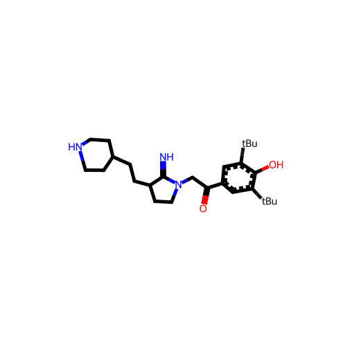 CC(C)(C)c1cc(C(=O)CN2CCC(CCC3CCNCC3)C2=N)cc(C(C)(C)C)c1O